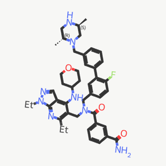 CCc1nc2c(cnn2CC)c(NC2CCOCC2)c1CN(Cc1ccc(F)c(-c2cccc(CN3C[C@H](C)NC[C@H]3C)c2)c1)C(=O)c1cccc(C(N)=O)c1